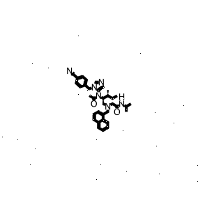 CC[C@H](C)[C@@H](CN(CC(=O)NC(C)C)Cc1cccc2ccccc12)N(C(C)=O)c1cncn1Cc1ccc(C#N)cc1